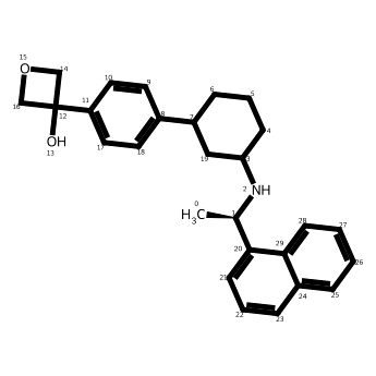 C[C@@H](NC1CCCC(c2ccc(C3(O)COC3)cc2)C1)c1cccc2ccccc12